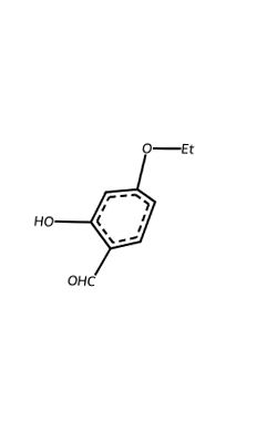 CCOc1ccc(C=O)c(O)c1